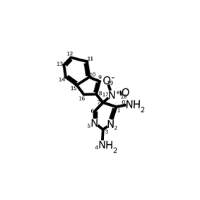 NC1=NC(N)N=CC1(C1=Cc2ccccc2C1)[N+](=O)[O-]